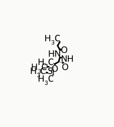 CCCC(=O)N[C@@H]1NC(=O)[C@@H]1[C@@H](C)O[Si](CC)(CC)CC